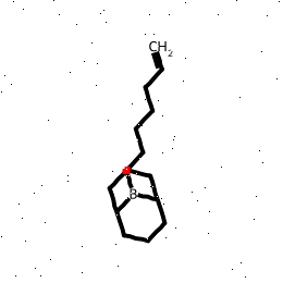 C=CCCCCCB1C2CCCC1CCC2